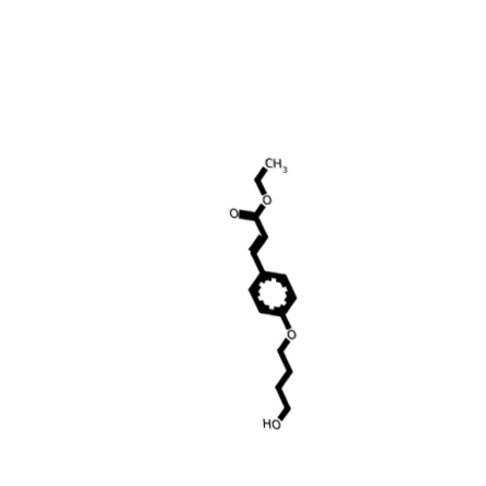 CCOC(=O)/C=C/c1ccc(OCCCCO)cc1